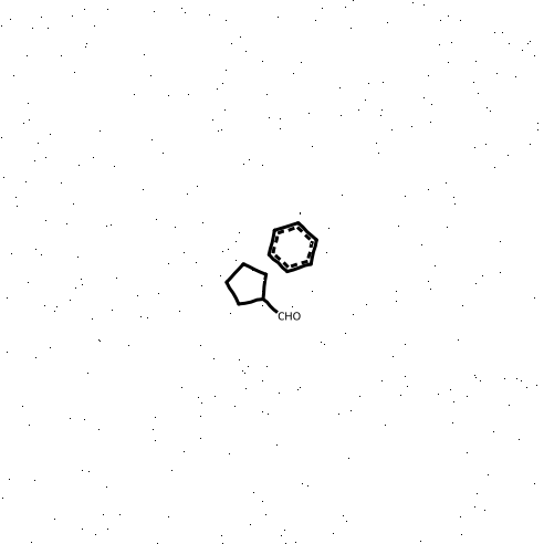 O=CC1CCCC1.c1ccccc1